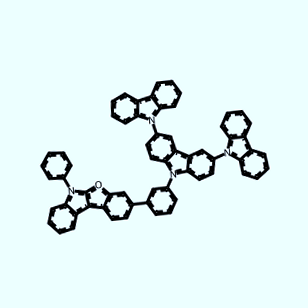 c1ccc(-n2c3ccccc3c3c4ccc(-c5cccc(-n6c7ccc(-n8c9ccccc9c9ccccc98)cc7c7cc(-n8c9ccccc9c9ccccc98)ccc76)c5)cc4oc32)cc1